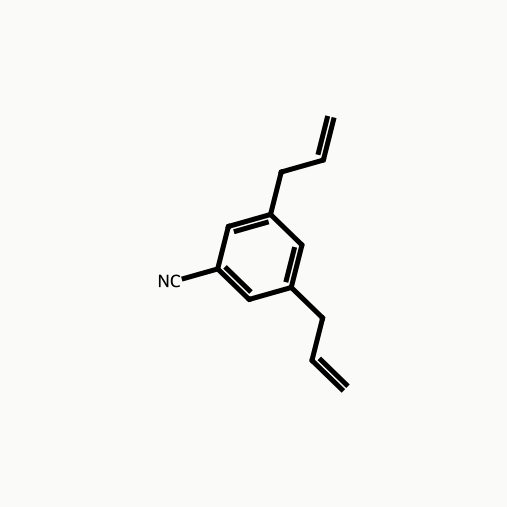 C=CCc1cc(C#N)cc(CC=C)c1